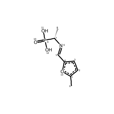 Cc1ccc(/C=N/[C@@H](C)P(=O)(O)O)o1